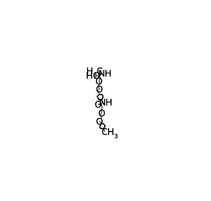 CNC(O)COCCOCc1ccc(NC(=O)CCOCCOc2ccc(C)cc2)cc1